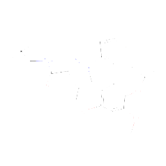 COc1cc2c(cc1OC(C)C)-c1c(c(C(=O)NCC(C)(C)C)nn1-c1ccsc1)CO2